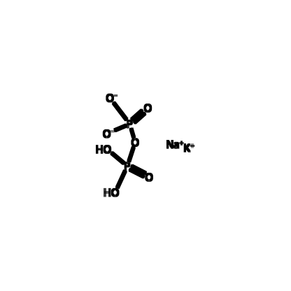 O=P([O-])([O-])OP(=O)(O)O.[K+].[Na+]